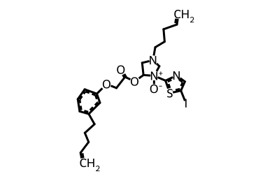 C=CCCCc1cccc(OCC(=O)OC2CN(CCCC=C)C[N+]2([O-])c2ncc(I)s2)c1